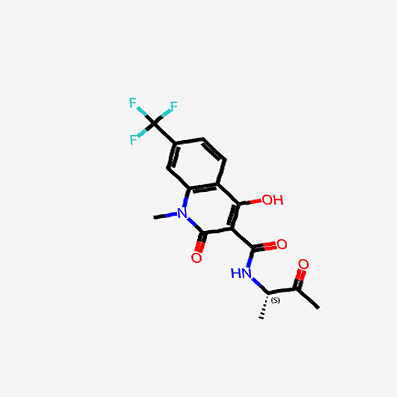 CC(=O)[C@H](C)NC(=O)c1c(O)c2ccc(C(F)(F)F)cc2n(C)c1=O